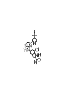 C#CC(C)(C)c1ccnc(-c2ccnc(Nc3cc(Cl)c4[nH]c(C(=O)N(C)C)cc4c3)n2)c1